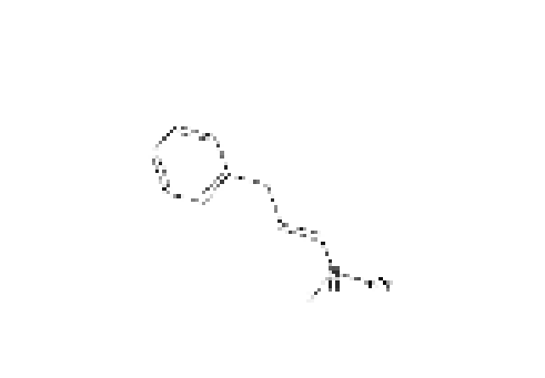 CCC[SiH](F)C=CCc1ccccc1